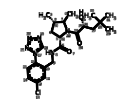 CC1[C@@H](C)C[C@@H](C(=O)NCc2cc(Cl)ccc2-n2cnnn2)N1C(=O)[C@H](O)CC(C)(C)C